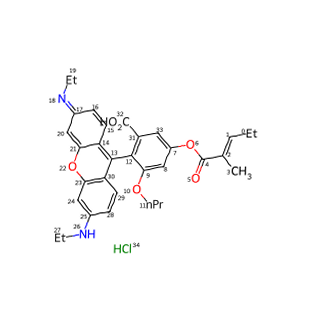 CCC=C(C)C(=O)Oc1cc(OCCC)c(-c2c3ccc(=NCC)cc-3oc3cc(NCC)ccc23)c(C(=O)O)c1.Cl